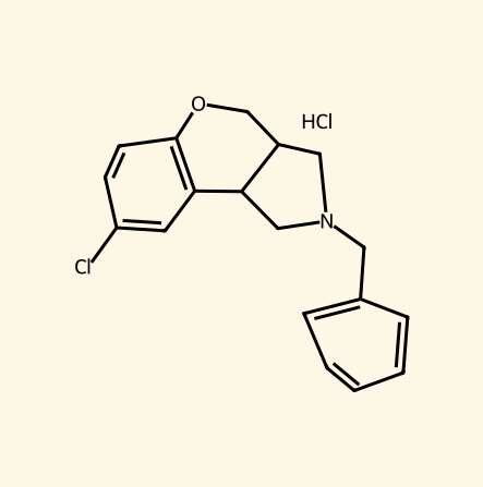 Cl.Clc1ccc2c(c1)C1CN(Cc3ccccc3)CC1CO2